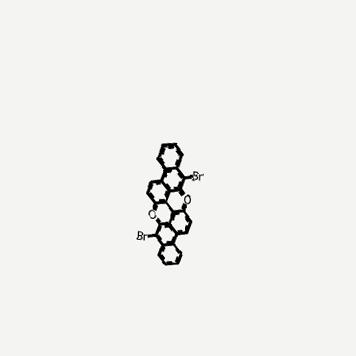 Brc1c2ccccc2c2ccc3oc4c(Br)c5ccccc5c5ccc6oc1c2c3-c6c45